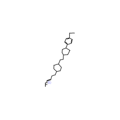 CCc1ccc(C2CCC(CCC3CCC(CC/C=C/F)CC3)CC2)cc1